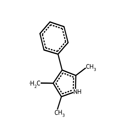 [CH2]c1c(C)[nH]c(C)c1-c1ccccc1